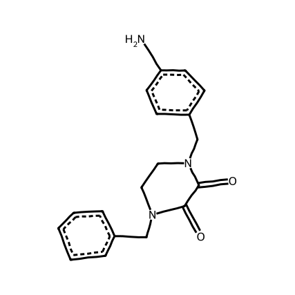 Nc1ccc(CN2CCN(Cc3ccccc3)C(=O)C2=O)cc1